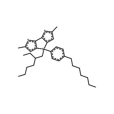 CCCCCCCc1ccc([Si]2(CC(CC)CCCC)c3cc(C)sc3-c3sc(C)cc32)cc1